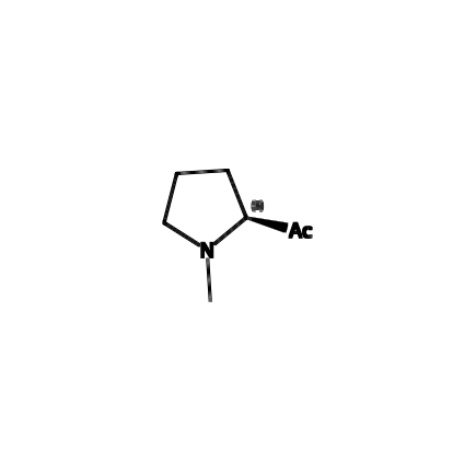 CC(=O)[C@@H]1CCCN1C